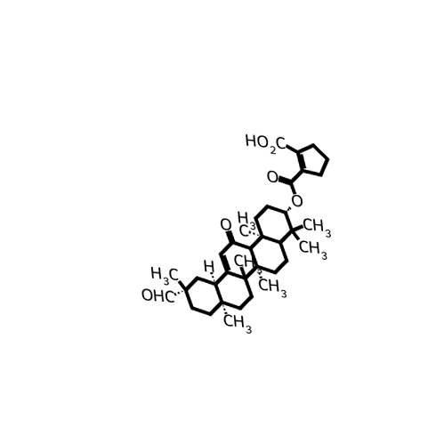 CC1(C)C2CC[C@]3(C)C(C(=O)C=C4[C@@H]5C[C@@](C)(C=O)CC[C@]5(C)CCC43C)[C@@]2(C)CC[C@@H]1OC(=O)C1=C(C(=O)O)CCC1